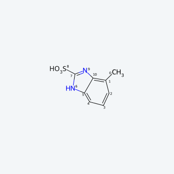 Cc1cccc2[nH]c(S(=O)(=O)O)nc12